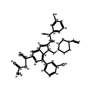 C=C[C@H]1CC[C@H](Cn2c(N[C@@H](C)c3cccc(F)c3)nc3nc(C(=N)OC(N)=O)nc(-c4cccc(Cl)c4)c32)CC1